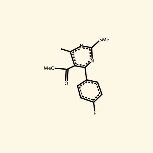 COC(=O)c1c(C)nc(SC)nc1-c1ccc(F)cc1